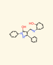 Oc1ccccc1/N=C/c1c(-c2ccccc2)nn(-c2ccccc2)c1O